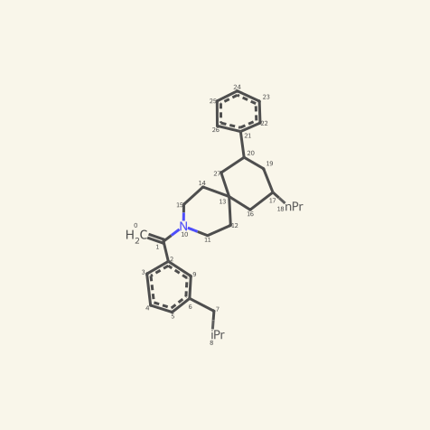 C=C(c1cccc(CC(C)C)c1)N1CCC2(CC1)CC(CCC)CC(c1ccccc1)C2